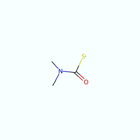 CN(C)C(=O)[S]